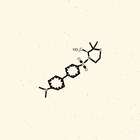 CN(C)c1ccc(-c2ccc(S(=O)(=O)N3CCSC(C)(C)[C@@H]3C(=O)O)cc2)cc1